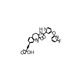 CN1C(=O)[C@@H](NC(=O)c2cc(Oc3cccc(F)n3)ccn2)CCc2ccc(C#CC3(O)COC3)cc21